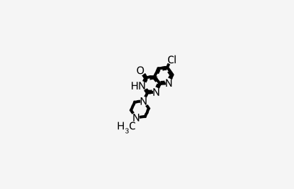 CN1CCN(c2nc3ncc(Cl)cc3c(=O)[nH]2)CC1